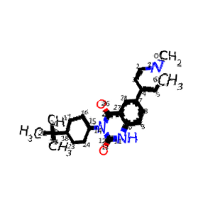 C=N/C=C\C(=C/C)c1ccc2[nH]c(=O)n(C3CCC(C(C)(C)C)CC3)c(=O)c2c1